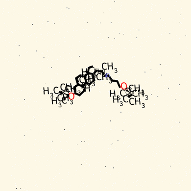 C[C@@H](/C=C/CCCO[Si](C)(C)C(C)(C)C)[C@H]1CC[C@H]2[C@@H]3CC=C4CC(O[Si](C)(C)C(C)(C)C)CC[C@]4(C)[C@H]3CC[C@]12C